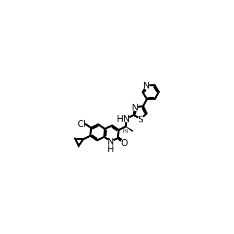 C[C@H](Nc1nc(-c2cccnc2)cs1)c1cc2cc(Cl)c(C3CC3)cc2[nH]c1=O